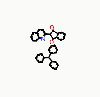 O=C1c2ccccc2C(=O)C1c1ccc2ccccc2n1.c1ccc(C(c2ccccc2)c2ccccc2)cc1